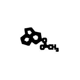 CC(=O)Oc1cc2c3c(cccc3c1)CC2